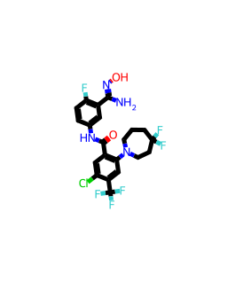 NC(=NO)c1cc(NC(=O)c2cc(Cl)c(C(F)(F)F)cc2N2CCCC(F)(F)CC2)ccc1F